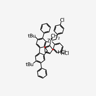 Cl.Cl.[CH2]=[Zr]([CH2]c1ccc(Cl)cc1)([C]1=CC=CC1)([c]1ccccc1)[c]1c2c(cc(C(C)(C)C)c1-c1ccccc1)-c1cc(C(C)(C)C)c(-c3ccccc3)cc1C2